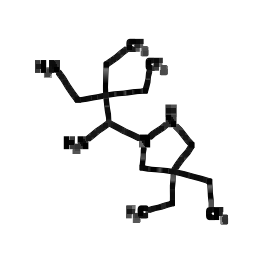 NCC(CC(F)(F)F)(CC(F)(F)F)C(N)N1CC(CC(F)(F)F)(CC(F)(F)F)CN1